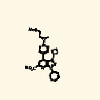 CCOC(=O)c1cc(-c2ccc(N(C)CCOC)cc2)c2c(C3CCC3)nn(-c3ccccc3)c2n1